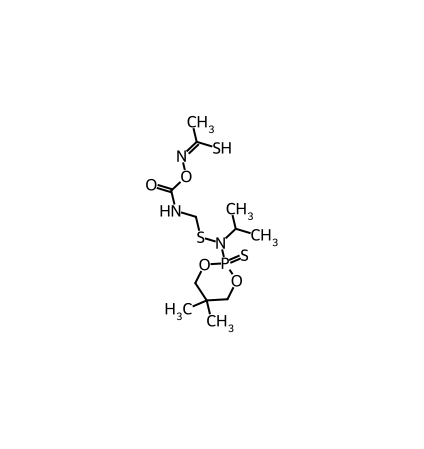 CC(S)=NOC(=O)NCSN(C(C)C)P1(=S)OCC(C)(C)CO1